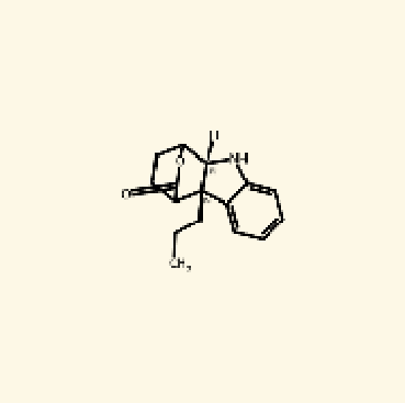 CCC[C@]12c3ccccc3N[C@H]1C1CCC2C(=O)O1